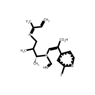 C=C/C(=N\CC(C)[C@@H](C)N(C=N)/C=C(/C(=O)O)c1ccnc(F)c1)C(F)(F)F